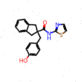 O=C(Nc1nccs1)C1(Cc2ccc(O)cc2)Cc2ccccc2C1